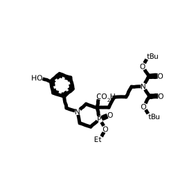 CCOP1(=O)CCN(Cc2cccc(O)c2)CC1(CCCCN(C(=O)OC(C)(C)C)C(=O)OC(C)(C)C)C(=O)O